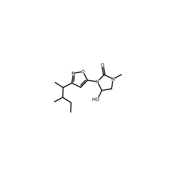 CCC(C)C(C)c1cc(N2C(=O)N(C)CC2O)on1